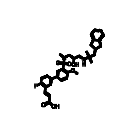 COc1ccc(-c2ccc(F)c(C=CC(=O)O)c2)cc1S(=O)(=O)N(C)CC(O)CNC(C)(C)CC1Cc2ccccc2C1